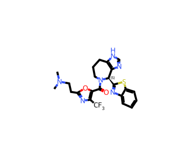 CN(C)CCc1nc(C(F)(F)F)c(C(=O)N2CCCc3[nH]cnc3[C@H]2c2nc3ccccc3s2)o1